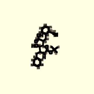 CC(C)(C)OC(=O)NC(Cc1ccccc1)C(O)CC(Cc1ccccc1C#N)C(=O)O